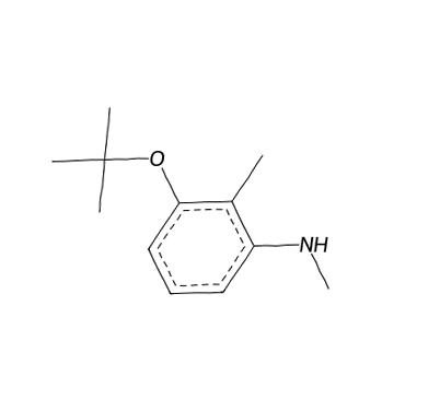 CNc1cccc(OC(C)(C)C)c1C